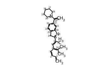 C=C/C=C\C(/C=C(\C)C1=Nc2cc(C(=C)N3CCCCC3)ccc2C1)=C(C)C